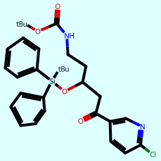 CC(C)(C)OC(=O)NCCC(CC(=O)c1ccc(Cl)nc1)O[Si](c1ccccc1)(c1ccccc1)C(C)(C)C